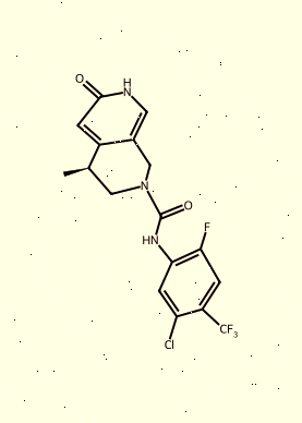 C[C@@H]1CN(C(=O)Nc2cc(Cl)c(C(F)(F)F)cc2F)Cc2c[nH]c(=O)cc21